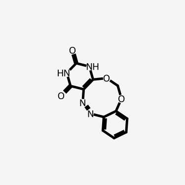 O=c1[nH]c2c(c(=O)[nH]1)N=Nc1ccccc1OCO2